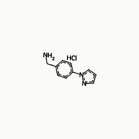 Cl.NCc1ccc(-n2cccn2)cc1